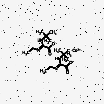 CCN=C(NC(C)(C)C)C(=O)[O-].CCN=C(NC(C)(C)C)C(=O)[O-].[Co+2]